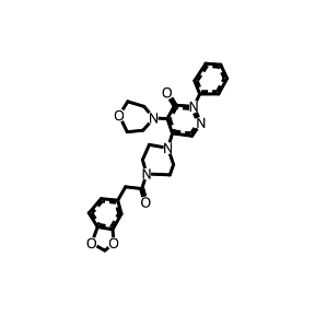 O=C(Cc1ccc2c(c1)OCO2)N1CCN(c2cnn(-c3ccccc3)c(=O)c2N2CCOCC2)CC1